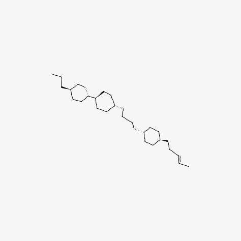 CC=CCC[C@H]1CC[C@H](CCCC[C@H]2CC[C@H]([C@H]3CC[C@H](CCC)CC3)CC2)CC1